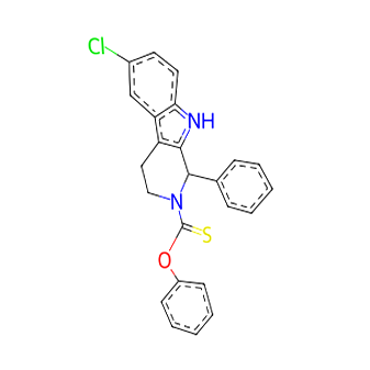 S=C(Oc1ccccc1)N1CCc2c([nH]c3ccc(Cl)cc23)C1c1ccccc1